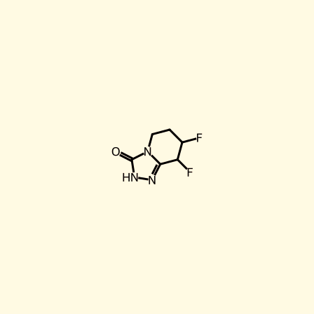 O=c1[nH]nc2n1CCC(F)C2F